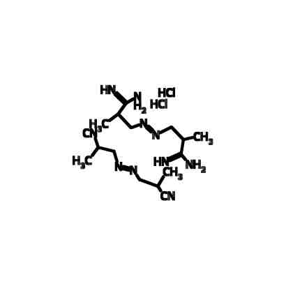 CC(C#N)CN=NCC(C)C#N.CC(CN=NCC(C)C(=N)N)C(=N)N.Cl.Cl